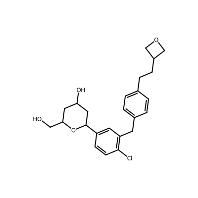 OCC1CC(O)CC(c2ccc(Cl)c(Cc3ccc(CCC4COC4)cc3)c2)O1